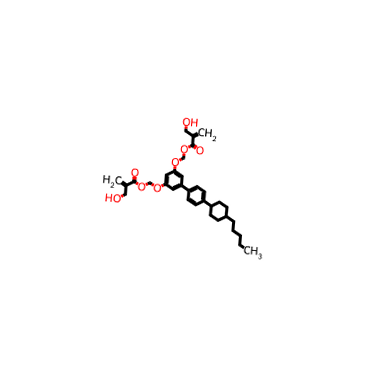 C=C(CO)C(=O)OCOc1cc(OCOC(=O)C(=C)CO)cc(-c2ccc(C3CCC(CCCCC)CC3)cc2)c1